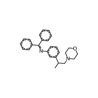 CC(CN1CCOCC1)c1cccc(N=C(c2ccccc2)c2ccccc2)c1